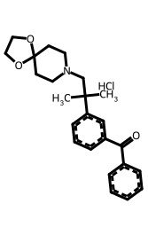 CC(C)(CN1CCC2(CC1)OCCO2)c1cccc(C(=O)c2ccccc2)c1.Cl